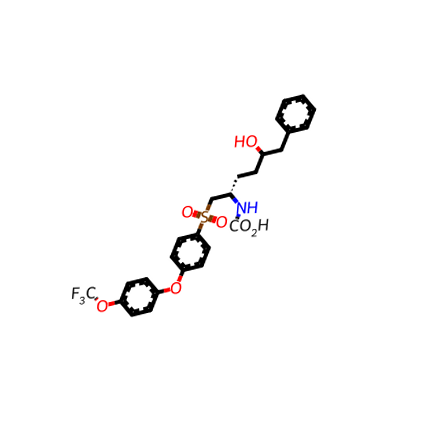 O=C(O)N[C@@H](CCC(O)Cc1ccccc1)CS(=O)(=O)c1ccc(Oc2ccc(OC(F)(F)F)cc2)cc1